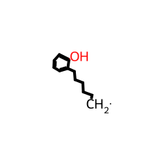 [CH2]CCCCCc1ccccc1O